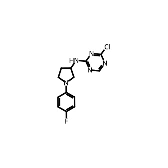 Fc1ccc(N2CCC(Nc3ncnc(Cl)n3)C2)cc1